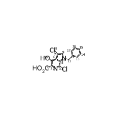 O=C(O)c1nc(Cl)c2c(c(Cl)cn2Cc2ccccc2)c1O